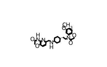 COc1ccc2c(c1)N(CC[C@H]1CC[C@H](NCc3ccc4c(n3)NC(=O)CO4)CC1)C(=O)CO2